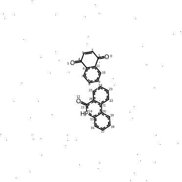 O=C1C=CC(=O)c2ccccc21.O=c1[pH]c2ccccc2c2ccccc12